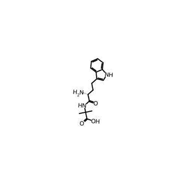 CC(C)(NC(=O)[C@H](N)CCc1c[nH]c2ccccc12)C(=O)O